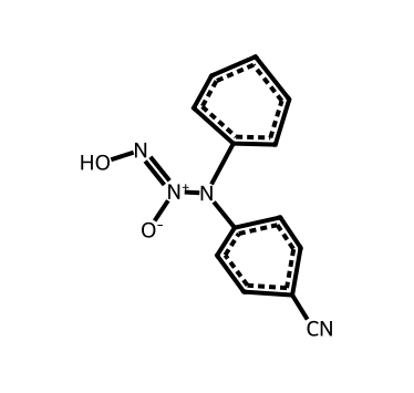 N#Cc1ccc(N(c2ccccc2)/[N+]([O-])=N/O)cc1